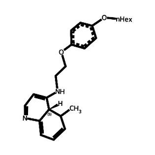 CCCCCCOc1ccc(OCCNC2=CC=NC3=CC=CC(C)[C@H]32)cc1